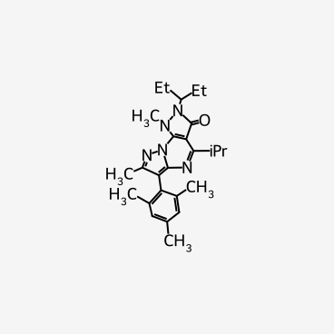 CCC(CC)n1c(=O)c2c(C(C)C)nc3c(-c4c(C)cc(C)cc4C)c(C)nn3c2n1C